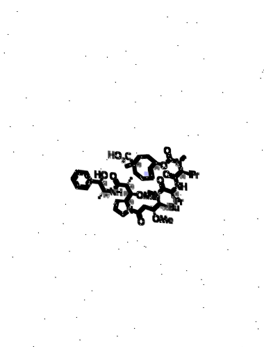 CC[C@H](C)[C@@H]([C@@H](CC(=O)N1CCC[C@H]1[C@H](OC)[C@@H](C)C(=O)N[C@H](C)[C@@H](O)c1ccccc1)OC)N(C)C(=O)[C@@H](NC(=O)[C@H](C(C)C)N(C)C(=O)O[C@H]1/C=C/CC[C@@](C)(C(=O)O)CC1)C(C)C